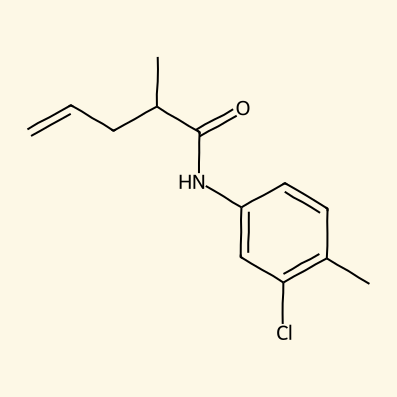 C=CCC(C)C(=O)Nc1ccc(C)c(Cl)c1